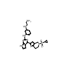 NCCNc1cccc(Nc2nc(-c3cc4c(s3)CCN(S(=O)(=O)C3CC3)C4)c3cc[nH]c3n2)c1